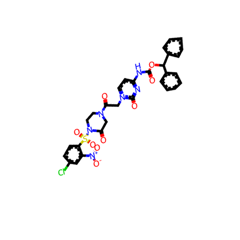 O=C(Nc1ccn(CC(=O)N2CCN(S(=O)(=O)c3ccc(Cl)cc3[N+](=O)[O-])C(=O)C2)c(=O)n1)OC(c1ccccc1)c1ccccc1